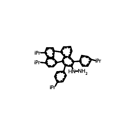 CC(C)c1ccc(-c2c(NN)c(-c3ccc(C(C)C)cc3)c3cccc(-c4ccc(C(C)C)cc4)c3c2-c2ccc(C(C)C)cc2)cc1